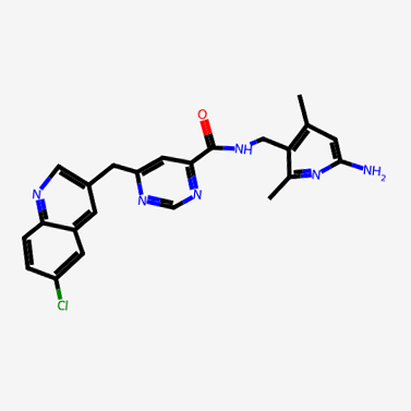 Cc1cc(N)nc(C)c1CNC(=O)c1cc(Cc2cnc3ccc(Cl)cc3c2)ncn1